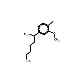 CCCCCC(C)c1ccc(F)c(OC)c1